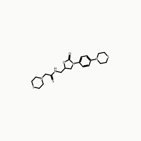 O=C1OC(CNC(=S)CN2CCSCC2)CN1c1ccc(N2CCSCC2)cc1